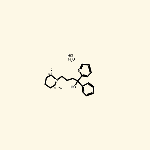 C[C@@H]1CCC[C@H](C)N1CCCC(O)(c1ccccc1)c1ccccn1.Cl.O